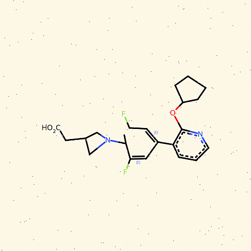 CC(/C(F)=C\C(=C/CF)c1cccnc1OC1CCCC1)N1CC(CC(=O)O)C1